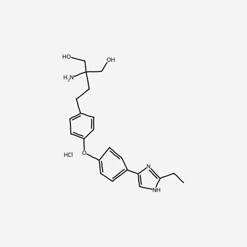 CCc1nc(-c2ccc(Oc3ccc(CCC(N)(CO)CO)cc3)cc2)c[nH]1.Cl